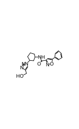 O=C(NC1CCCC(n2cc(CO)nn2)C1)c1cc(-c2ccccc2)on1